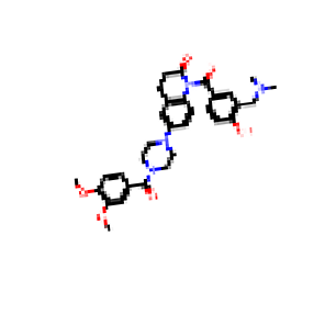 COc1ccc(C(=O)N2CCN(c3ccc4c(c3)CCC(=O)N4C(=O)c3ccc(O)c(CN(C)C)c3)CC2)cc1OC